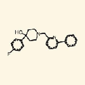 OC1(c2ccc(F)cc2)CCN(Cc2cccc(-c3ccccc3)n2)CC1